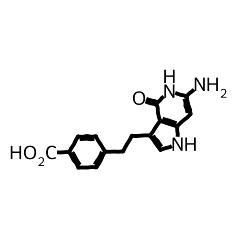 Nc1cc2[nH]cc(CCc3ccc(C(=O)O)cc3)c2c(=O)[nH]1